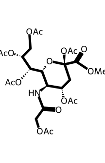 COC(=O)[C@]1(OC(C)=O)C[C@H](OC(C)=O)[C@@H](NC(=O)COC(C)=O)[C@H]([C@H](OC(C)=O)[C@@H](COC(C)=O)OC(C)=O)O1